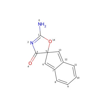 NC1=NC(=O)C2(C=c3ccccc3=C2)O1